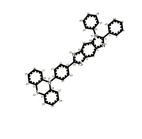 c1ccc(-c2nc3cc4sc(-c5ccc(N6c7ccccc7Sc7ccccc76)cc5)nc4cc3n2-c2ccccc2)cc1